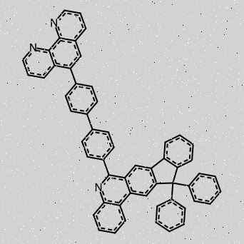 c1ccc(C2(c3ccccc3)c3ccccc3-c3cc4c(-c5ccc(-c6ccc(-c7cc8cccnc8c8ncccc78)cc6)cc5)nc5ccccc5c4cc32)cc1